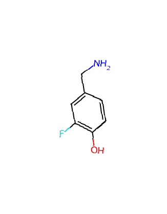 NCc1ccc(O)c(F)c1